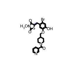 CN1C(=O)S/C(=C\c2cc(OCC3CCN(C(=O)c4cccnc4)CC3)c(O)cc2Br)C1=O